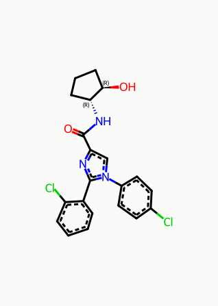 O=C(N[C@@H]1CCC[C@H]1O)c1cn(-c2ccc(Cl)cc2)c(-c2ccccc2Cl)n1